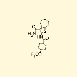 NC(=O)c1c(NC(=O)c2ccc(OC(F)(F)F)cc2)sc2c1CCCCC2